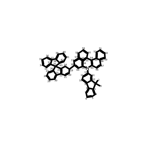 CC1(C)c2ccccc2-c2ccc(N(c3cccc(C4C=CC5=C(C4)C4(c6ccccc65)c5ccccc5-c5ccccc54)c3)c3ccc4ccccc4c3-c3ccccc3)cc21